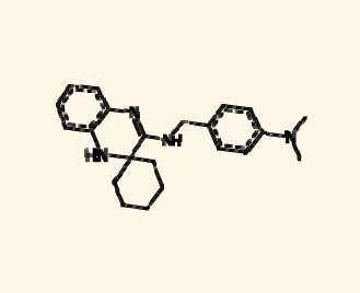 CN(C)c1ccc(CNC2=Nc3ccccc3NC23CCCCC3)cc1